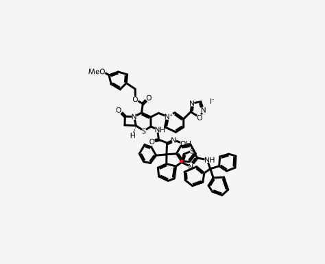 COc1ccc(COC(=O)C2=C(C[n+]3cccc(-c4ncno4)c3)C(NC(=O)C(=NO)C(c3ccccc3)(c3ccccc3)c3ccccc3-c3csc(NC(c4ccccc4)(c4ccccc4)c4ccccc4)n3)S[C@H]3CC(=O)N23)cc1.[I-]